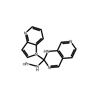 CCCNC1(n2ccc3ncccc32)N=Cc2ccncc2N1